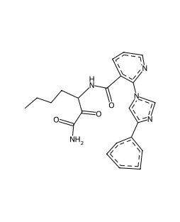 CCCCC(NC(=O)c1cccnc1-n1cnc(-c2ccccc2)c1)C(=O)C(N)=O